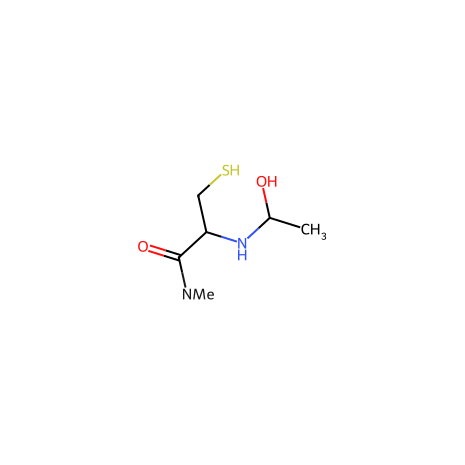 CNC(=O)C(CS)NC(C)O